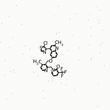 Cc1cc(-c2ncsc2Cl)c2cc(OCc3c(C)ccnc3Cn3cccc(C(F)(F)F)c3=O)ccc2n1